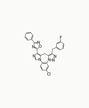 Fc1cccc(Cc2nnn3c2Cc2c(-c4nc(-c5ccccc5)no4)ncn2-c2ccc(Cl)cc2-3)c1